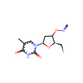 C=NOC1C[C@H](n2cc(C)c(=O)[nH]c2=O)O[C@@H]1CI